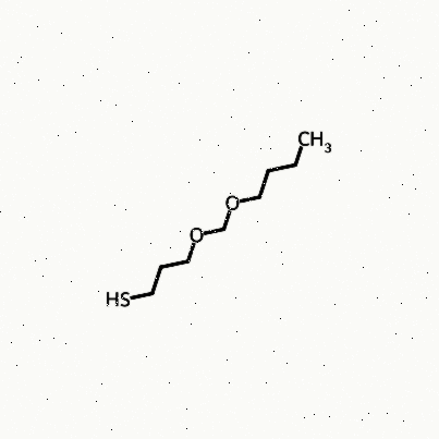 CCCCOCOCCCS